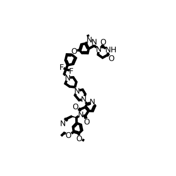 CCOc1cc([C@@H](CC#N)N2C(=O)c3ccnc(N4CCN(C5CCN(CC(F)(F)c6ccc(Oc7ccc8c(N9CCC(=O)NC9=O)nn(C)c8c7)cc6)CC5)CC4)c3C2=O)ccc1OC